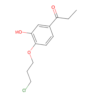 CCC(=O)c1ccc(OCCCCl)c(O)c1